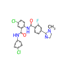 CN1CCN=C1c1ccc(C(=O)Nc2ccc(Cl)cc2C(=O)Nc2ccc(Cl)cc2)c(F)c1